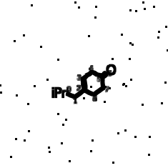 CC(C)CC1=CCC(=O)CC1